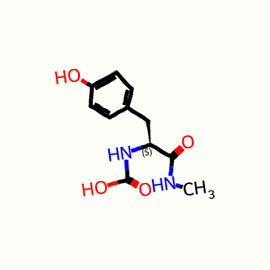 CNC(=O)[C@H](Cc1ccc(O)cc1)NC(=O)O